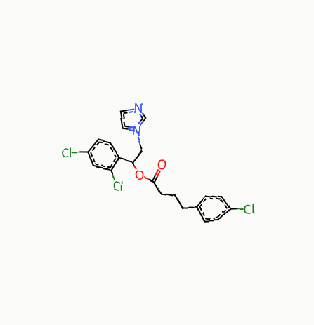 O=C(CCCc1ccc(Cl)cc1)OC(Cn1ccnc1)c1ccc(Cl)cc1Cl